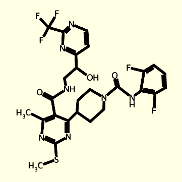 CSc1nc(C)c(C(=O)NCC(O)c2ccnc(C(F)(F)F)n2)c(C2CCN(C(=O)Nc3c(F)cccc3F)CC2)n1